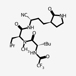 CC(C)C[C@@H](C(=O)N[C@H](C#N)CC[C@@H]1CCNC1=O)N(C)C(=O)[C@@H](NC(=O)C(F)(F)F)C(C)(C)C